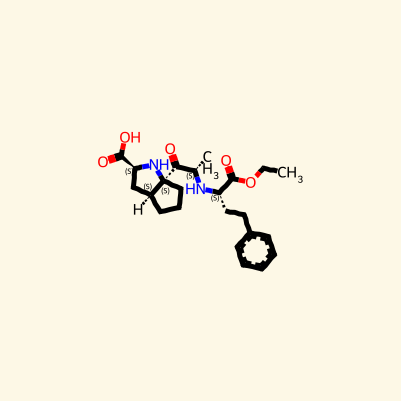 CCOC(=O)[C@H](CCc1ccccc1)N[C@@H](C)C(=O)[C@]12CCC[C@H]1C[C@@H](C(=O)O)N2